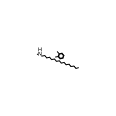 CCCCCCCCCCCCCCCCNC.Cc1ccccc1C